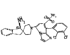 N[C@@H]1c2ccccc2CC12CCN(c1cc(S(N)(=O)=O)c(-c3cccc(Cl)c3Cl)c3nccn13)CC2